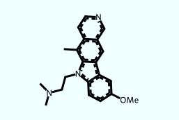 COc1ccc2c(c1)c1cc3cnccc3c(C)c1n2CCN(C)C